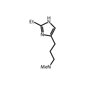 CCc1nc(CCCNC)c[nH]1